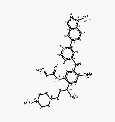 C=CC(=O)Nc1cc(Nc2cc(-c3ccc4c(cnn4C)c3)ncn2)c(OC)cc1N(C)CCN1CCN(C)CC1